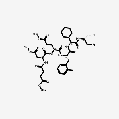 Cc1ccccc1C[C@H](NC(=O)[C@H](CCC(=O)OC(C)(C)C)NC(=O)[C@H](CC(=O)OC(C)(C)C)NC(=O)CCC(=O)OC(C)(C)C)C(=O)N[C@H](C(=O)N[C@@H](CC(C)C)C(=O)O)C1CCCCC1